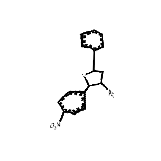 CC(=O)C1CC(c2ccccc2)OC1c1ccc([N+](=O)[O-])cc1